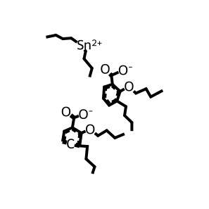 CCCCOc1c(CCCC)cccc1C(=O)[O-].CCCCOc1c(CCCC)cccc1C(=O)[O-].CCC[CH2][Sn+2][CH2]CCC